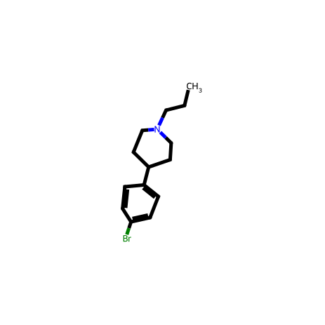 CCCN1CCC(c2ccc(Br)cc2)CC1